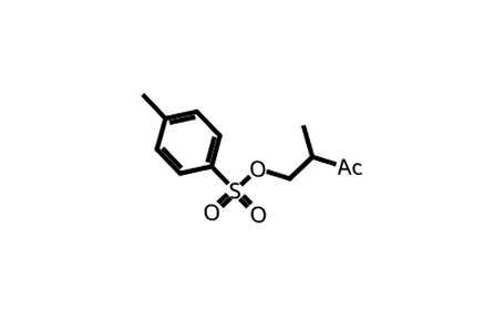 CC(=O)C(C)COS(=O)(=O)c1ccc(C)cc1